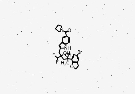 CC(C)(CC(O)(Cc1cc2cc(C(=O)N3CCCC3)ccc2[nH]1)C(F)F)c1cc(Br)cc2c1OCC2